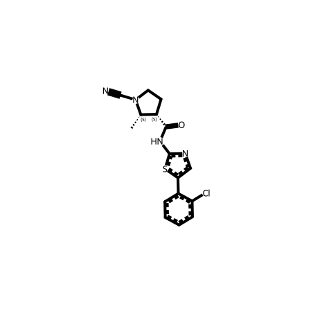 C[C@H]1[C@@H](C(=O)Nc2ncc(-c3ccccc3Cl)s2)CCN1C#N